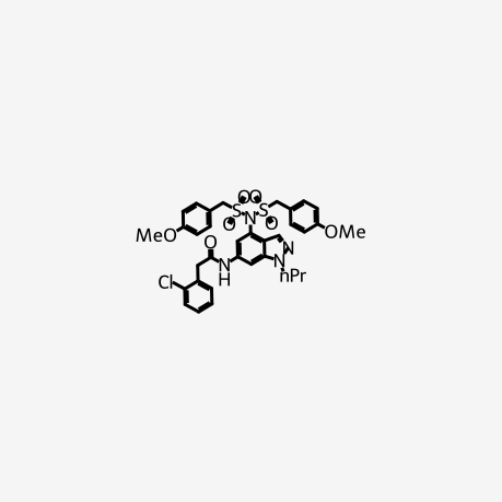 CCCn1ncc2c(N(S(=O)(=O)Cc3ccc(OC)cc3)S(=O)(=O)Cc3ccc(OC)cc3)cc(NC(=O)Cc3ccccc3Cl)cc21